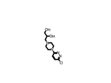 OCC(O)CN1CCN(c2ccc(Cl)nn2)CC1